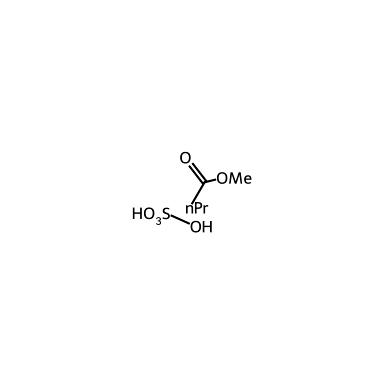 CCCC(=O)OC.O=S(=O)(O)O